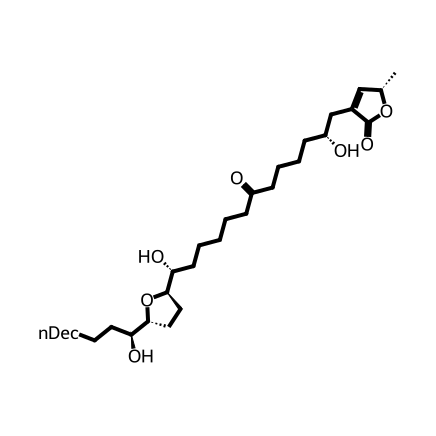 CCCCCCCCCCCC[C@H](O)[C@H]1CC[C@H]([C@H](O)CCCCCC(=O)CCCC[C@@H](O)CC2=C[C@H](C)OC2=O)O1